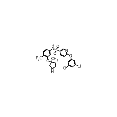 C[C@@]1(Oc2cc(NS(=O)(=O)c3ccc(Oc4cc(Cl)cc(Cl)c4)nc3)ccc2C(F)(F)F)CCNC1